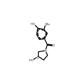 CC(C)(C)c1cc(C(=O)N2CC[C@@H](O)C2)ccc1O